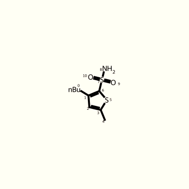 CCCCc1cc(C)sc1S(N)(=O)=O